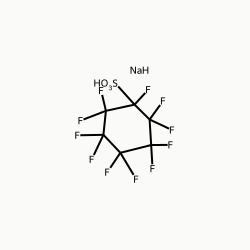 O=S(=O)(O)C1(F)C(F)(F)C(F)(F)C(F)(F)C(F)(F)C1(F)F.[NaH]